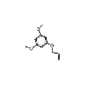 C=CCOc1cc(OC)cc(OC)c1